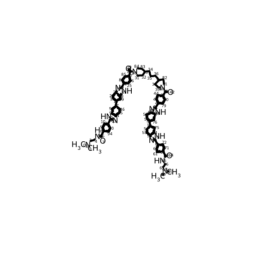 CN(C)CCNC(=O)c1ccc(-c2nc3ccc(-c4ccc5nc(-c6ccc(C(=O)N7CCC(CCCC8CCN(C(=O)c9ccc(-c%10nc%11ccc(-c%12ccc%13nc(-c%14ccc(C(=O)NCCN(C)C)cc%14)[nH]c%13c%12)cc%11[nH]%10)cc9)CC8)CC7)cc6)[nH]c5c4)cc3[nH]2)cc1